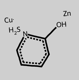 Oc1ccccn1.S.[Cu].[Zn]